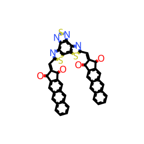 O=C1C(=Cc2nc3c4nsnc4c4nc(C=C5C(=O)c6cc7cc8ccccc8cc7cc6C5=O)sc4c3s2)C(=O)c2cc3cc4ccccc4cc3cc21